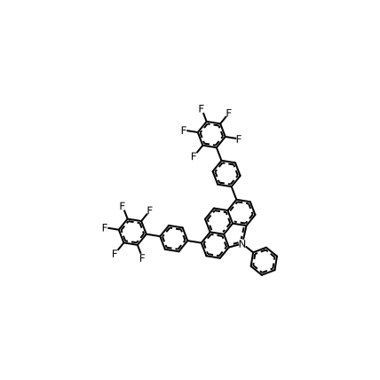 Fc1c(F)c(F)c(-c2ccc(-c3ccc4c5c3ccc3c(-c6ccc(-c7c(F)c(F)c(F)c(F)c7F)cc6)ccc(c35)n4-c3ccccc3)cc2)c(F)c1F